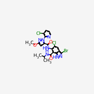 COc1cc(C(=O)Nc2c(Cl)cc3c(Br)n[nH]c3c2C(=O)NC(C)C)n(-c2ncccc2Cl)n1